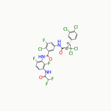 O=C(Nc1c(F)ccc(NC(=O)C(F)F)c1F)c1cc(NC(=O)[C@H]2[C@H](c3ccc(Cl)c(Cl)c3)C2(Cl)Cl)cc(F)c1Cl